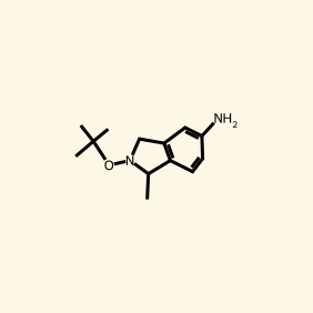 CC1c2ccc(N)cc2CN1OC(C)(C)C